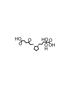 O=C(O)CCC(=O)CC[C@H]1CCC[C@@H]1CCCC(O)(O)C(=O)O